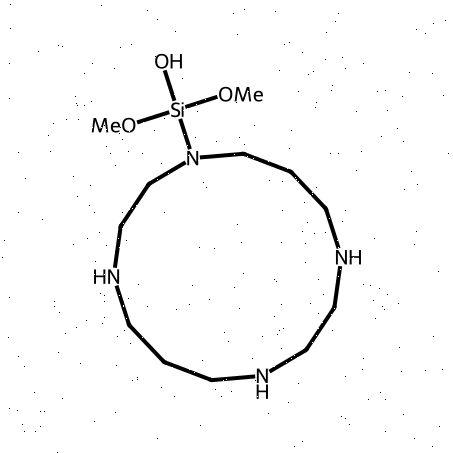 CO[Si](O)(OC)N1CCCNCCNCCCNCC1